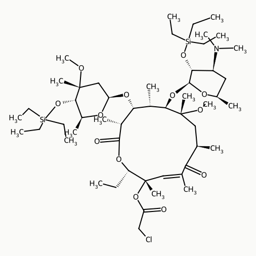 CC[C@@H]1OC(=O)[C@H](C)[C@H](O[C@@H]2C[C@@](C)(OC)[C@@H](O[Si](CC)(CC)CC)[C@H](C)O2)[C@H](C)[C@@H](O[C@@H]2O[C@H](C)C[C@H](N(C)C)[C@H]2O[Si](CC)(CC)CC)[C@](C)(OC)C[C@@H](C)C(=O)/C(C)=C/[C@]1(C)OC(=O)CCl